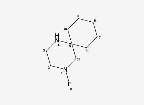 FN1CCNC2(CCCCC2)C1